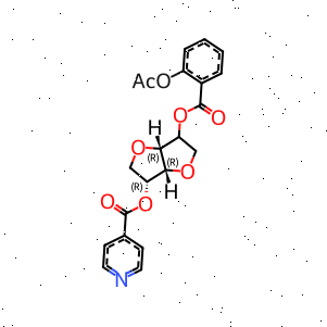 CC(=O)Oc1ccccc1C(=O)OC1CO[C@H]2[C@@H]1OC[C@H]2OC(=O)c1ccncc1